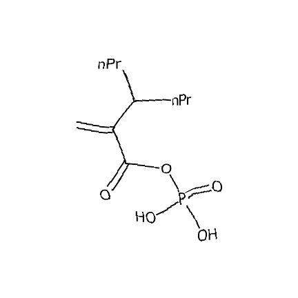 C=C(C(=O)OP(=O)(O)O)C(CCC)CCC